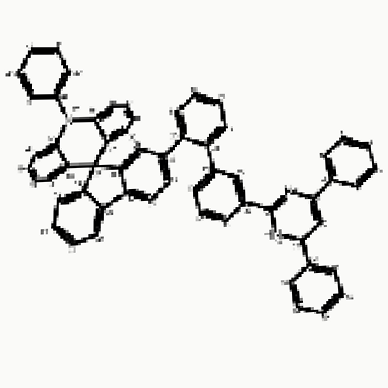 C1=C(c2ccccc2)N=C(c2cccc(-c3ccccc3-c3ccc4c(c3)C3(c5ccccc5-4)c4ccccc4N(c4ccccc4)c4ccccc43)c2)NC1c1ccccc1